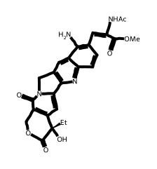 CC[C@@]1(O)C(=O)OCc2c1cc1n(c2=O)Cc2cc3c(N)c(C=C(NC(C)=O)C(=O)OC)ccc3nc2-1